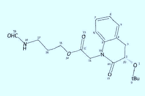 CC(C)(C)O[C@H]1Cc2ccccc2N(CC(=O)OCCCNC=O)C1=O